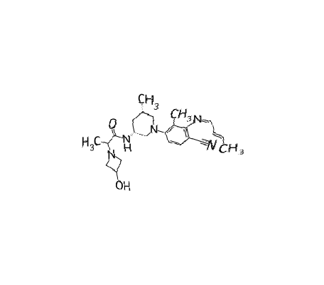 C/C=C/C=N\c1c(C#N)ccc(N2C[C@@H](C)C[C@@H](NC(=O)C(C)N3CC(O)C3)C2)c1C